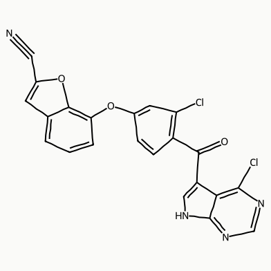 N#Cc1cc2cccc(Oc3ccc(C(=O)c4c[nH]c5ncnc(Cl)c45)c(Cl)c3)c2o1